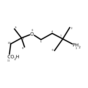 CC(C)(P)CCOC(C)(C)CC(=O)O